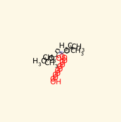 CC(C)(C)c1ccc(C(=O)C2=CC=C/C2=C(/OOOOOOOOOOOOO)c2ccc(C(C)(C)C)cc2)cc1